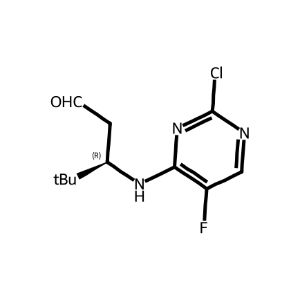 CC(C)(C)[C@@H](CC=O)Nc1nc(Cl)ncc1F